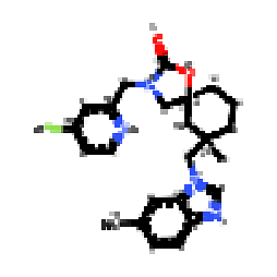 C[C@]1(Cn2cnc3ccc(C#N)cc32)CCC[C@]2(CN(Cc3cc(F)ccn3)C(=O)O2)C1